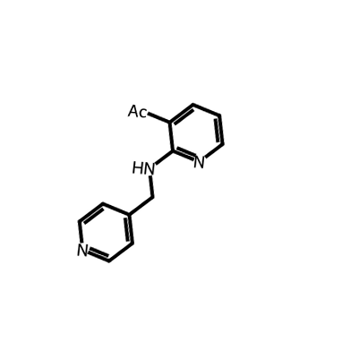 CC(=O)c1cccnc1NCc1ccncc1